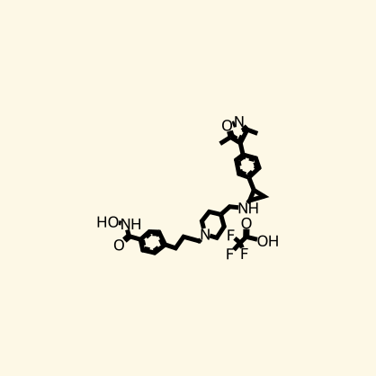 Cc1noc(C)c1-c1ccc(C2CC2NCC2CCN(CCCc3ccc(C(=O)NO)cc3)CC2)cc1.O=C(O)C(F)(F)F